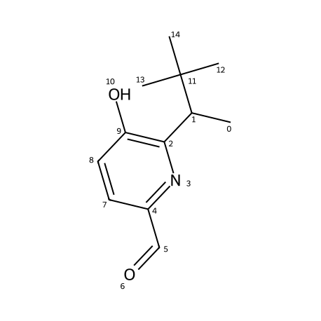 CC(c1nc(C=O)ccc1O)C(C)(C)C